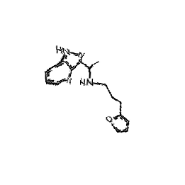 CC(NCCCc1ccco1)c1n[nH]c2cccnc12